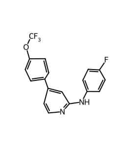 Fc1ccc(Nc2cc(-c3ccc(OC(F)(F)F)cc3)ccn2)cc1